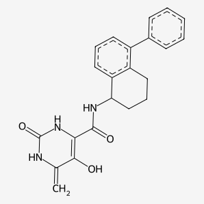 C=C1NC(=O)NC(C(=O)NC2CCCc3c(-c4ccccc4)cccc32)=C1O